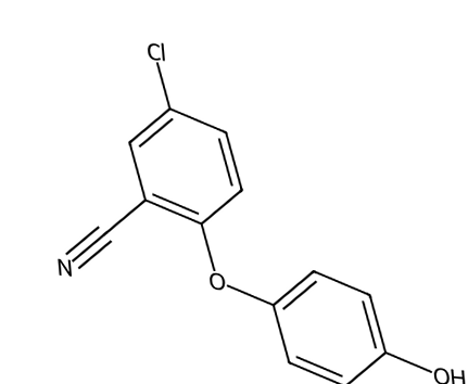 N#Cc1cc(Cl)ccc1Oc1ccc(O)cc1